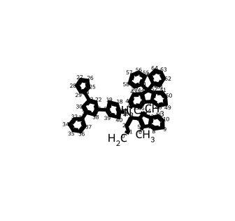 C=C/C=C(\C1=C(C)c2ccccc2C1(C)C)N(c1ccc(-c2cc(-c3ccccc3)cc(-c3ccccc3)c2)cc1)c1ccc2c(c1)-c1ccccc1C2(c1ccccc1)c1ccccc1